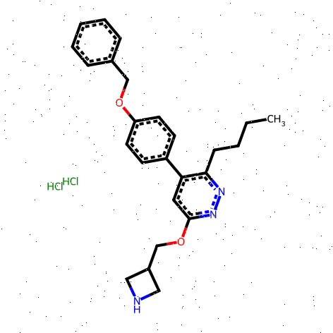 CCCCc1nnc(OCC2CNC2)cc1-c1ccc(OCc2ccccc2)cc1.Cl.Cl